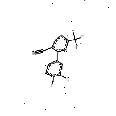 N#Cc1ccc(C(F)(F)F)nc1-c1ccc(F)c(Cl)c1